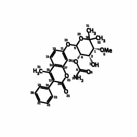 CO[C@@H]1[C@H](O)[C@H](OC(N)=O)C(Oc2ccc3c(C)c(-c4ccccc4)c(=O)oc3c2)OC1(C)C